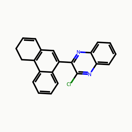 Clc1nc2ccccc2nc1-c1cc2c(c3ccccc13)CCC=C2